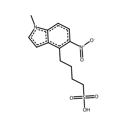 Cn1ccc2c(CCCCS(=O)(=O)O)c([N+](=O)[O-])ccc21